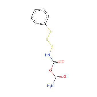 NC(=O)OC(=O)NSSSc1ccccc1